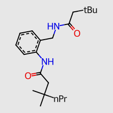 CCCC(C)(C)CC(=O)Nc1ccccc1CNC(=O)CC(C)(C)C